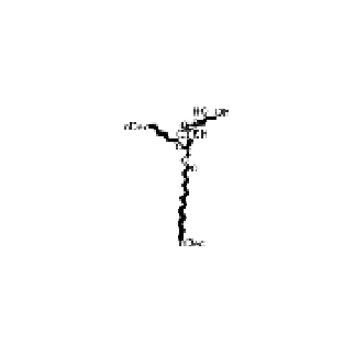 CCCCCCCCCCCCCCCCCCCCCC(=O)OC[C@H](COP(=O)(O)OC[C@@H](O)CO)OC(=O)CCCCCCCCCCCCCC